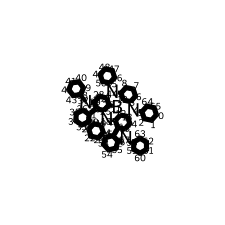 c1ccc(N2c3cccc4c3B3c5c2cc2c(c5N(c5ccccc5)c5c3c(cc3c5c5ccccc5n3-c3ccccc3)N4c3ccccc3)c3ccccc3n2-c2ccccc2)cc1